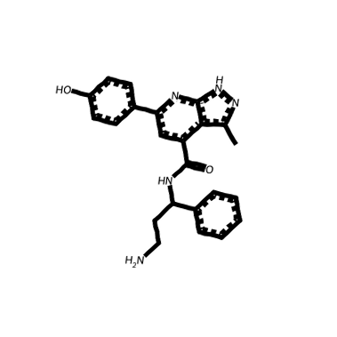 Cc1n[nH]c2nc(-c3ccc(O)cc3)cc(C(=O)NC(CCN)c3ccccc3)c12